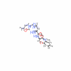 C/C=C\C=C/N(C=O)CN/C(C)=C\C(=N)C(=O)N[C@H]1COc2ccccc2N(C)C1=O